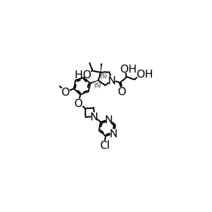 COc1ccc([C@@H]2CN(C(=O)C(O)CO)C[C@@]2(C)C(C)O)cc1OC1CN(c2cc(Cl)ncn2)C1